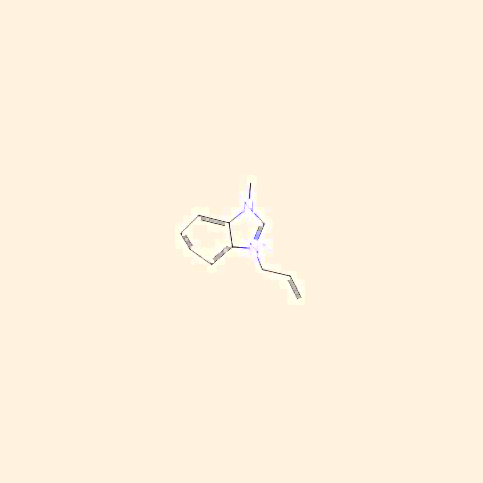 C=CC[n+]1cn(C)c2ccccc21